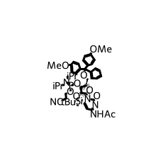 COc1ccc(C(OC[C@H]2O[C@@H](n3ccc(NC(C)=O)nc3=O)[C@H](O[Si](C)(C)C(C)(C)C)[C@@H]2OP(OCCC#N)N(C(C)C)C(C)C)(c2ccccc2)c2ccc(OC)cc2)cc1